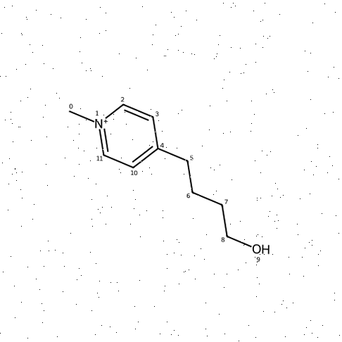 C[n+]1ccc(CCCCO)cc1